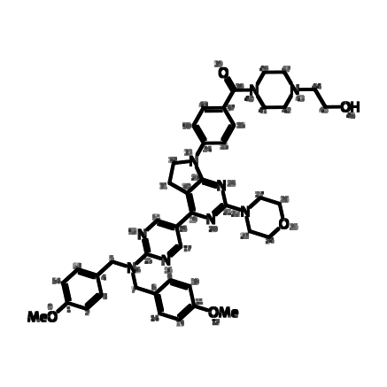 COc1ccc(CN(Cc2ccc(OC)cc2)c2ncc(-c3nc(N4CCOCC4)nc4c3CCN4c3ccc(C(=O)N4CCN(CCO)CC4)cc3)cn2)cc1